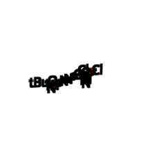 CC(C)(C)[CH]Cn1ncn(-c2ccc(N3CCN(c4ccc(OC[C@@H]5CO[C@@](Cn6cncn6)(c6ccc(Cl)cc6Cl)O5)cc4)CC3)cc2)c1=O